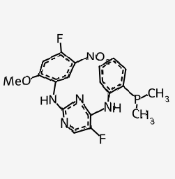 COc1cc(F)c([N+](=O)[O-])cc1Nc1ncc(F)c(Nc2ccccc2P(C)C)n1